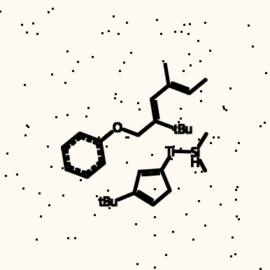 CC=C(C)C=C(COc1ccccc1)C(C)(C)C.C[SiH](C)[Ti][C]1=CC(C(C)(C)C)=CC1